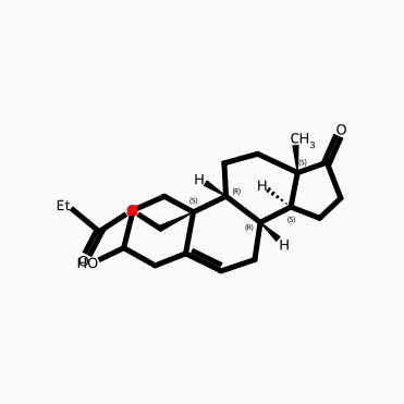 CCC(=O)OC[C@]12CCC(O)CC1=CC[C@@H]1[C@H]2CC[C@]2(C)C(=O)CC[C@@H]12